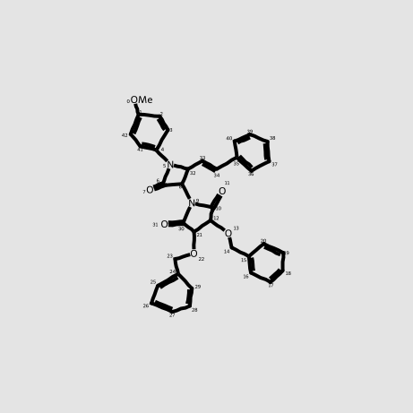 COc1ccc(N2C(=O)C(N3C(=O)C(OCc4ccccc4)C(OCc4ccccc4)C3=O)C2C=Cc2ccccc2)cc1